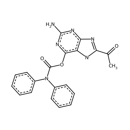 CC(=O)C1=Nc2nc(N)nc(OC(=O)N(c3ccccc3)c3ccccc3)c2[N]1